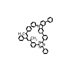 C=C(/C=C(\C=C(/C)c1ccccc1)c1ccccc1)c1cccc(-c2nc(-c3ccccc3)nc(-c3cccc(C4C=c5c(n(-c6ccccc6)c6ccc(-c7ccccc7)cc56)=CC4)c3)n2)c1